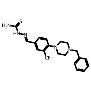 NC(=S)NN=Cc1ccc(N2CCN(Cc3ccccc3)CC2)c(C(F)(F)F)c1